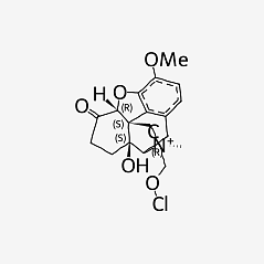 COc1ccc2c3c1O[C@H]1C(=O)CC[C@@]4(O)C(C2)[N@+](C)(COCl)CC[C@]314